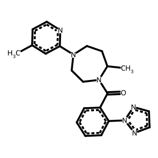 Cc1ccnc(N2CCC(C)N(C(=O)c3ccccc3-n3nccn3)CC2)c1